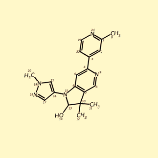 Cc1cc(-c2cc3c(cn2)C(C)(C)C(O)N3c2cnn(C)c2)ccn1